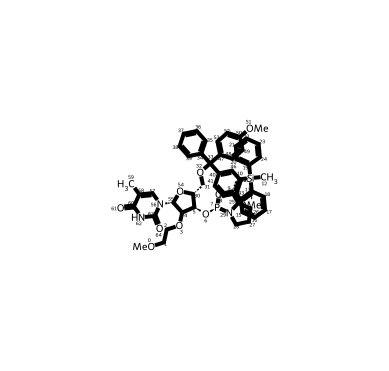 COCCOC1[C@@H](O[P@]2O[C@H](C[Si](C)(c3ccccc3)c3ccccc3)[C@@H]3CCCN32)[C@@H](COC(c2ccccc2)(c2ccc(OC)cc2)c2ccc(OC)cc2)O[C@H]1n1cc(C)c(=O)[nH]c1=O